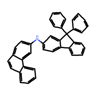 c1ccc(C2(c3ccccc3)c3ccccc3-c3ccc(Nc4ccc5ccc6ccccc6c5c4)cc32)cc1